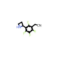 N#CCc1c(F)c(F)c(F)c(C2CCN2)c1F